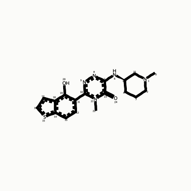 CN1CCC[C@@H](Nc2nnc(-c3ccc4sccc4c3O)n(C)c2=O)C1